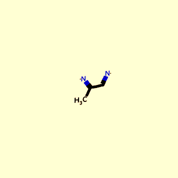 CC(=[N])C=[N]